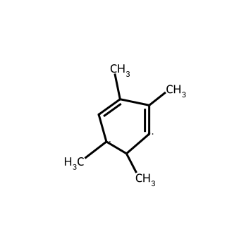 C[C]1C=C(C)C(C)=[C]C1C